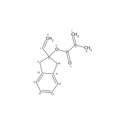 C=CC1(OC(=O)C(=C)C)Cc2ccccc2C1